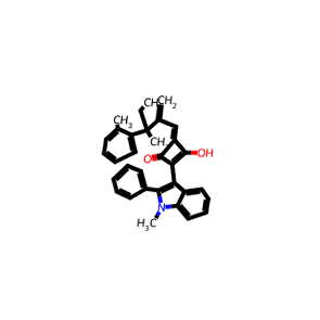 C=C(/C=C1\C(=O)C(c2c(-c3ccccc3)n(C)c3ccccc23)=C1O)C(C)(CC)c1ccccc1C